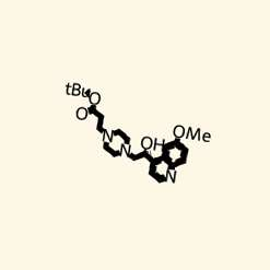 COc1ccc2nccc([C@@H](O)CN3CCN(CCC(=O)OC(C)(C)C)CC3)c2c1